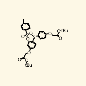 Cc1ccc(S(=O)(=O)O[S+](c2ccc(OCC(=O)OC(C)(C)C)cc2)c2ccc(OCC(=O)OC(C)(C)C)cc2)cc1